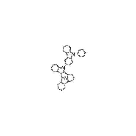 c1ccc(-n2c3ccccc3c3cc(-n4c5ccccc5c5c4c4cccc6c7ccccc7c5n64)ccc32)cc1